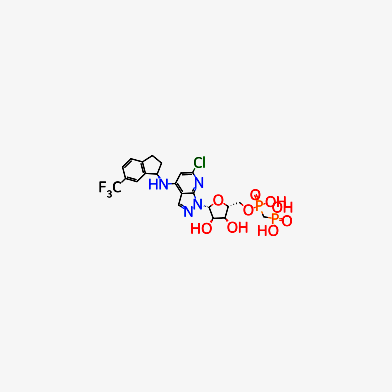 O=P(O)(O)CP(=O)(O)OC[C@H]1O[C@@H](n2ncc3c(N[C@@H]4CCc5ccc(C(F)(F)F)cc54)cc(Cl)nc32)[C@H](O)[C@@H]1O